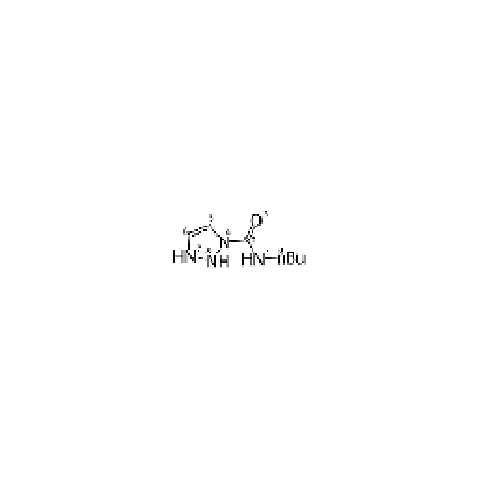 CCCCNC(=O)N1C=[C]NN1